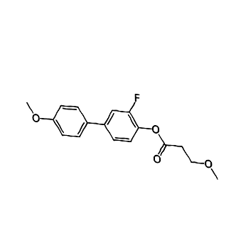 COCCC(=O)Oc1ccc(-c2ccc(OC)cc2)cc1F